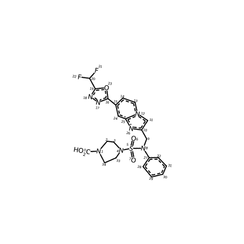 O=C(O)N1CCN(S(=O)(=O)N(Cc2cn3ccc(-c4nnc(C(F)F)o4)cc3n2)c2ccccc2)CC1